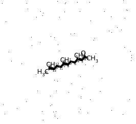 CC(=O)/C=C(\C)CC/C=C(\C)CCC=C(C)C